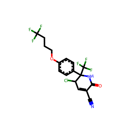 N#CC1=CC(Cl)C(c2ccc(OCCCC(F)(F)F)cc2)(C(F)(F)F)NC1=O